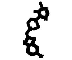 Cc1ncnc(N2CCN(Cc3nc4ccc(Br)cc4o3)CC2)c1C